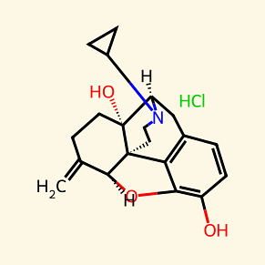 C=C1CC[C@@]2(O)[C@H]3Cc4ccc(O)c5c4[C@@]2(CCN3C2CC2)[C@H]1O5.Cl